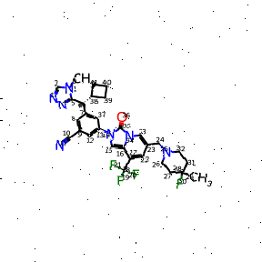 Cn1cnnc1[C@@H](c1cc(C#N)cc(-n2cc3c(C(F)(F)F)cc(CN4CCC(C)(F)CC4)cn3c2=O)c1)C1CCC1